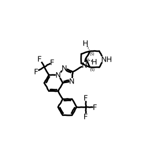 FC(F)(F)c1cccc(-c2ccc(C(F)(F)F)n3nc(N4[C@H]5[C@H]6CC[C@]54CNC6)nc23)c1